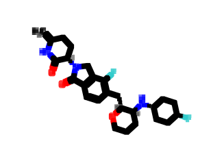 C=C1CC[C@H](N2Cc3c(ccc(C[C@H]4OCCC[C@@H]4N[C@H]4CC[C@H](F)CC4)c3F)C2=O)C(=O)N1